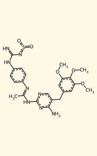 COc1cc(Cc2cnc(NC(C)=Nc3ccc(NC(=N)N=S(=O)=O)cc3)nc2N)cc(OC)c1OC